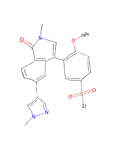 CCCOc1ccc(S(=O)(=O)CC)cc1-c1cn(C)c(=O)c2ccc(-c3cnn(C)c3)cc12